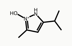 Cc1cc(C(C)C)[nH][n+]1O